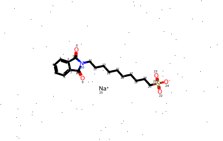 O=C1c2ccccc2C(=O)N1CCCCCCCCCCS(=O)(=O)[O-].[Na+]